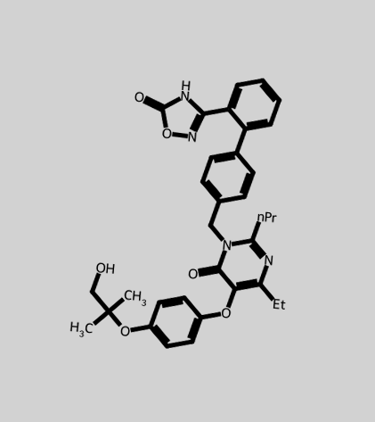 CCCc1nc(CC)c(Oc2ccc(OC(C)(C)CO)cc2)c(=O)n1Cc1ccc(-c2ccccc2-c2noc(=O)[nH]2)cc1